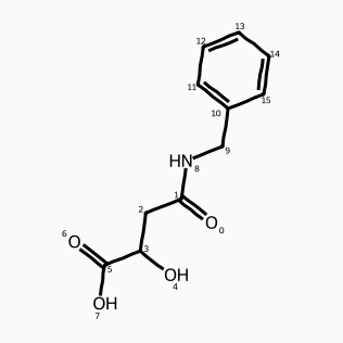 O=C(CC(O)C(=O)O)NCc1ccccc1